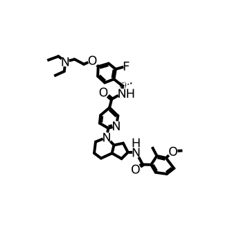 CCN(CC)CCOc1ccc([C@H](C)NC(=O)c2ccc(N3CCCC4CC(NC(=O)c5cccc(OC)c5C)CC43)nc2)c(F)c1